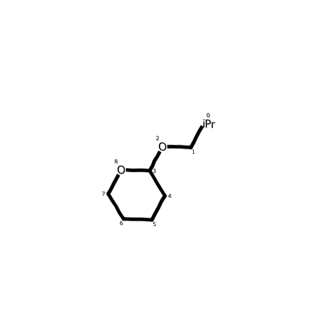 [CH2]C(C)COC1CCCCO1